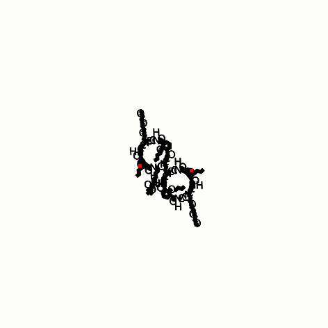 CCCCOc1c2cccc1C(=O)NCCN(CCOCCOCCOC)CCNC(=O)c1cccc(c1OCCCC)C(=O)NC(CCCCNC(=O)OC(C)(C)C)CN(CCN1CCNC(=O)c3cccc(c3OCCCC)C(=O)NCCN(CCOCCOCCOC)CCNC(=O)c3cccc(c3OCCCC)C(=O)NCC1)CCC2=O